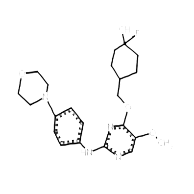 COc1cnc(Nc2ccc(N3CCOCC3)cc2)nc1OCC1CCC(C)(F)CC1